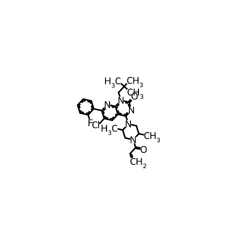 C=CC(=O)N1CC(C)N(c2nc(=O)n(CC(C)(C)C)c3nc(-c4ccccc4F)c(Cl)cc23)CC1C